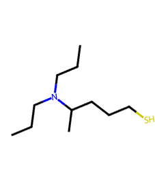 CCCN(CCC)C(C)CCCS